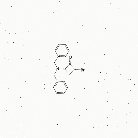 O=C1C(Br)CC1N(Cc1ccccc1)Cc1ccccc1